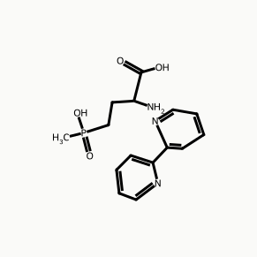 CP(=O)(O)CCC(N)C(=O)O.c1ccc(-c2ccccn2)nc1